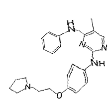 Cc1cnc(Nc2ccc(OCCN3CCCC3)cc2)nc1Nc1ccccc1